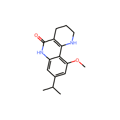 COc1cc(C(C)C)cc2[nH]c(=O)c3c(c12)NCCC3